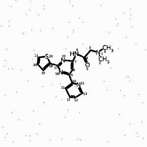 CN(C)CC(=O)Nc1cc(-c2ccccn2)nc(-c2cccs2)n1